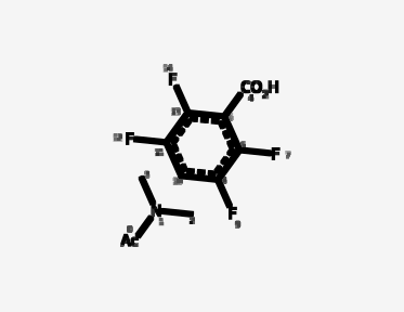 CC(=O)N(C)C.O=C(O)c1c(F)c(F)cc(F)c1F